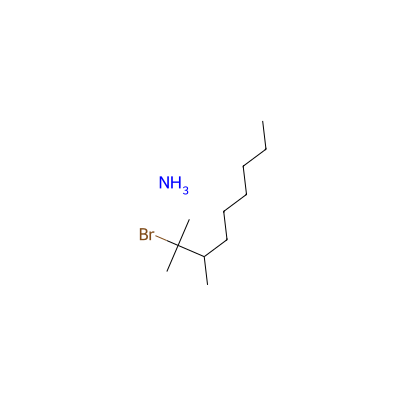 CCCCCCC(C)C(C)(C)Br.N